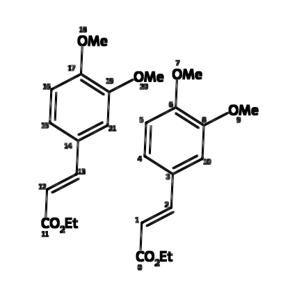 CCOC(=O)C=Cc1ccc(OC)c(OC)c1.CCOC(=O)C=Cc1ccc(OC)c(OC)c1